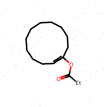 CCC(=O)OC1=CCCCCCCCCCC1